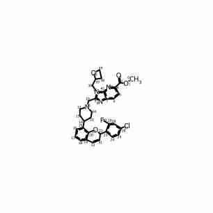 COC(=O)c1ccc2nc(CN3CCC(c4cccc5c4OC(c4ccc(Cl)cc4F)C=C5)CC3)n(CC3CCO3)c2n1